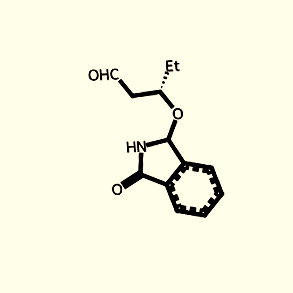 CC[C@@H](CC=O)OC1NC(=O)c2ccccc21